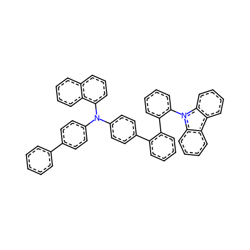 c1ccc(-c2ccc(N(c3ccc(-c4ccccc4-c4ccccc4-n4c5ccccc5c5ccccc54)cc3)c3cccc4ccccc34)cc2)cc1